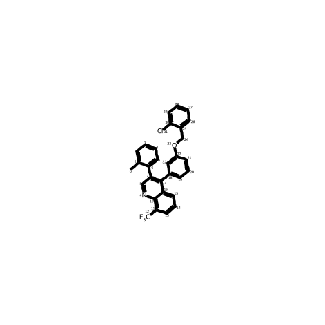 Cc1ccccc1-c1cnc2c(C(F)(F)F)cccc2c1-c1cccc(OCc2ccccc2Cl)c1